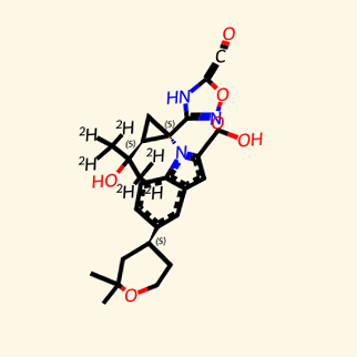 [2H]C([2H])([2H])C(O)([C@H]1C[C@]1(C1=NOC(=C=O)N1)n1c(C(=O)O)cc2cc([C@H]3CCOC(C)(C)C3)ccc21)C([2H])([2H])[2H]